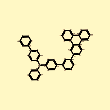 c1ccc(-c2ccc(N(c3ccccc3)c3ccc(-c4cccc(-c5ccc6c7ccccc7c7ccccc7c6c5)c4)cc3)cc2)cc1